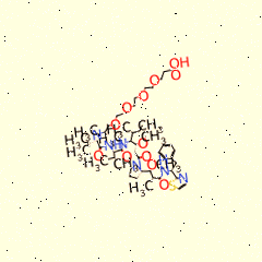 CC[C@H](C)C([C@@H](CC(=O)N1CCC[C@H]1[C@H](OC)[C@@H](C)C(=O)N[C@@H](Cc1ccccc1)c1nccs1)OC)N(C)C(=O)[C@@H](NC(=O)[C@H](C(C)C)N(C)CCOCCOCCOCCOCCC(=O)O)C(C)C